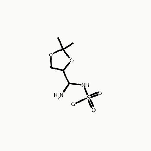 CC1(C)OCC(C(N)NS(=O)(=O)Cl)O1